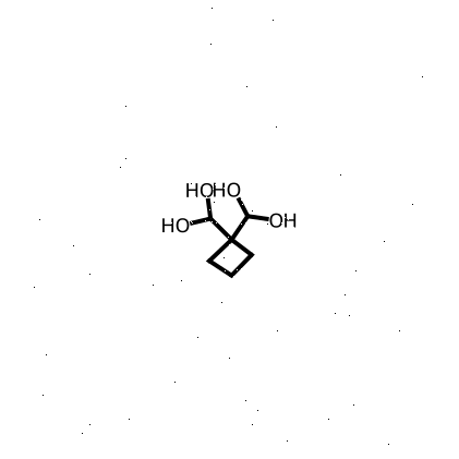 OC(O)C1(C(O)O)CCC1